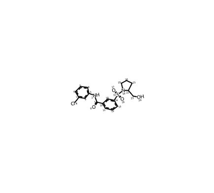 O=C(Nc1cccc(Cl)c1)c1cccc(S(=O)(=O)N2CCCC2CO)c1